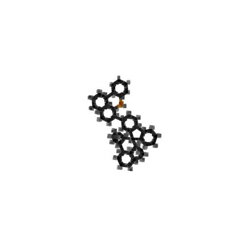 c1ccc2c(c1)Sc1c(-c3ccc4c(c3)C3(c5ccccc5-4)c4ccccc4-c4cccc5cccc3c45)ccc3cccc-2c13